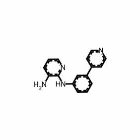 Nc1cccnc1Nc1cccc(-c2ccncc2)c1